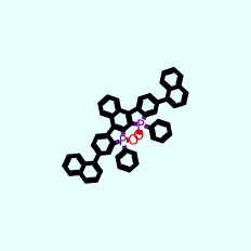 O=P1(c2ccccc2)c2cc(-c3cccc4ccccc34)ccc2-c2c1c1c(c3ccccc23)-c2ccc(-c3cccc4ccccc34)cc2P1(=O)c1ccccc1